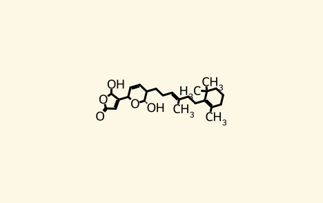 CC1=C(CC/C(C)=C/CCC2C=CC(C3=CC(=O)OC3O)O[C@H]2O)C(C)(C)CCC1